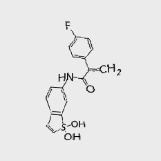 C=C(C(=O)Nc1ccc2c(c1)S(O)(O)C=C2)c1ccc(F)cc1